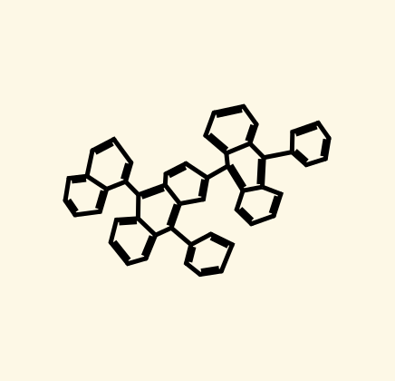 c1ccc(-c2c3ccccc3c(-c3ccc4c(-c5cccc6ccccc56)c5ccccc5c(-c5ccccc5)c4c3)c3ccccc23)cc1